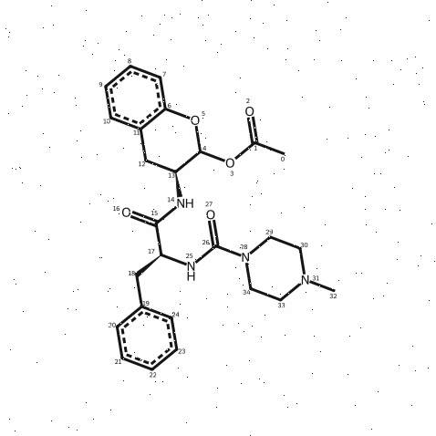 CC(=O)OC1Oc2ccccc2C[C@@H]1NC(=O)[C@H](Cc1ccccc1)NC(=O)N1CCN(C)CC1